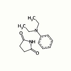 CCN(CC)c1ccccc1.O=C1CCC(=O)N1